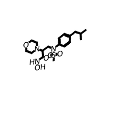 CC(C)Cc1ccc(N(CC(C(=O)NO)N2CCOCC2)S(C)(=O)=O)cc1